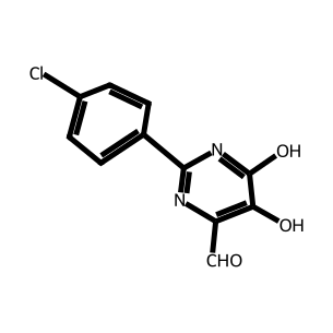 O=Cc1nc(-c2ccc(Cl)cc2)nc(O)c1O